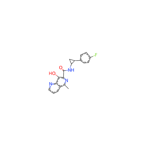 Cc1nc(C(=O)NC2CC2c2ccc(F)cc2)c(O)c2ncccc12